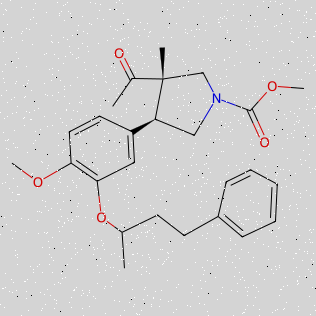 COC(=O)N1C[C@@H](c2ccc(OC)c(OC(C)CCc3ccccc3)c2)[C@](C)(C(C)=O)C1